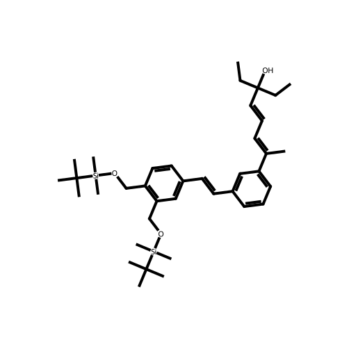 CCC(O)(C=CC=C(C)c1cccc(C=Cc2ccc(CO[Si](C)(C)C(C)(C)C)c(CO[Si](C)(C)C(C)(C)C)c2)c1)CC